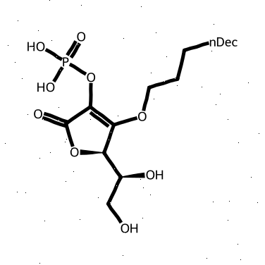 CCCCCCCCCCCCCOC1=C(OP(=O)(O)O)C(=O)O[C@@H]1[C@@H](O)CO